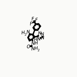 NC(=O)Nc1ccc(N)c(-c2cccc(C(F)(F)F)c2)c1-c1nnn[nH]1